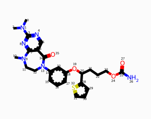 CN(C)c1ncc2c(n1)N(C)CCN(c1cccc(OC(CCCOC(N)=O)c3cccs3)c1)C2=O